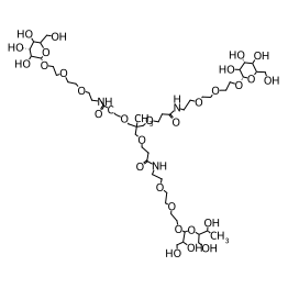 C[C@H](O)C(CO)O[C@H](OCCOCCOCCNC(=O)CCOCC(C)(COCCC(=O)NCCOCCOCCO[C@H]1OC(CO)C(O)[C@@H](O)C1O)COCCC(=O)NCCOCCOCCO[C@H]1OC(CO)C(O)[C@@H](O)C1O)C(O)CO